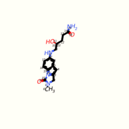 CN1Cc2cc3cc(NC[C@@H](O)CCC(N)=O)ccc3n2C1=O